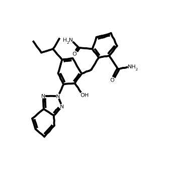 CCC(C)c1cc(Cc2c(C(N)=O)cccc2C(N)=O)c(O)c(-n2nc3ccccc3n2)c1